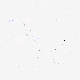 NC(=O)C(=O)NSC1CCCCC1